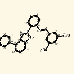 CCCCc1cc(/C=N/c2ccccc2-c2nc3c(-c4ccccc4)cccc3s2)cc(CCCC)c1